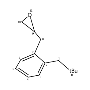 CC(C)(C)Cc1ccccc1CC1CO1